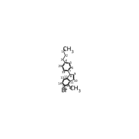 CCCCc1ccc(C2C=Cc3c2ccc(Br)c3C)cc1